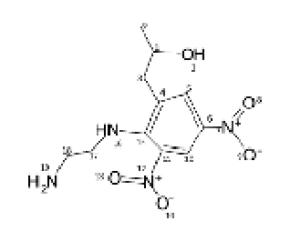 CC(O)Cc1cc([N+](=O)[O-])cc([N+](=O)[O-])c1NCCN